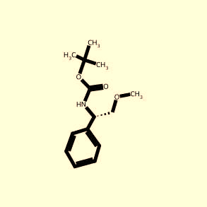 COC[C@@H](NC(=O)OC(C)(C)C)c1ccccc1